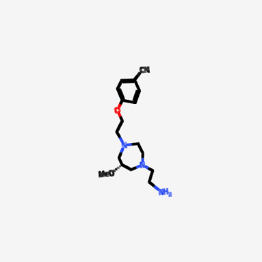 CO[C@H]1CN(CCN)CCN(CCOc2ccc(C#N)cc2)C1